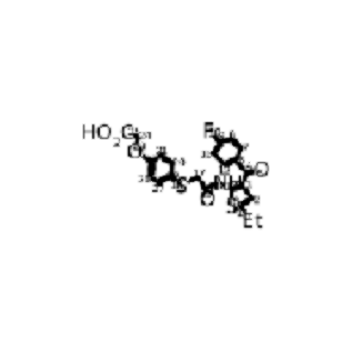 CCc1cc(C(=O)c2ccc(F)cc2)c(NC(=O)CSc2ccc(OCC(=O)O)cc2)s1